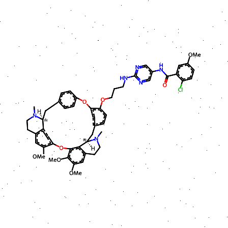 COc1ccc(Cl)c(C(=O)Nc2cnc(NCCCOc3ccc4cc3Oc3ccc(cc3)C[C@H]3c5cc(c(OC)cc5CCN3C)Oc3c(OC)c(OC)cc5c3[C@@H](C4)N(C)CC5)nc2)c1